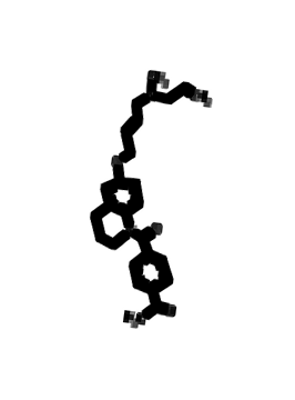 C=CCN(C)C/C=C/COc1ccc2c(c1)CCCN2C(=O)c1ccc(C(C)=O)cc1